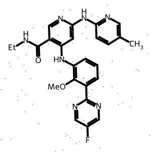 CCNC(=O)c1cnc(Nc2ccc(C)cn2)cc1Nc1cccc(-c2ncc(F)cn2)c1OC